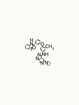 Cc1cc(Nc2ncnc3cnc(N4CCCC4)cc23)ccc1Oc1cccc(C(=O)Nc2ccccc2F)c1